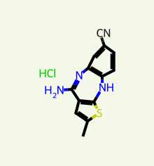 Cc1cc2c(s1)Nc1ccc(C#N)cc1N=C2N.Cl